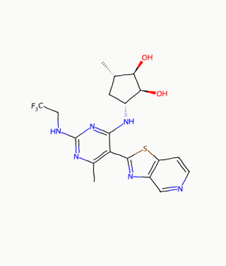 Cc1nc(NCC(F)(F)F)nc(N[C@@H]2C[C@H](C)[C@@H](O)[C@H]2O)c1-c1nc2cnccc2s1